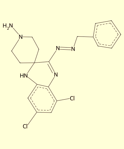 NN1CCC2(CC1)Nc1cc(Cl)cc(Cl)c1N=C2N=NCc1ccccc1